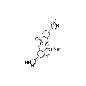 Cn1cc(-c2ccc(C(=O)[O-])c(/C=C/C(=O)c3c(F)cc(-c4cn[nH]c4)cc3F)c2)cn1.[Na+]